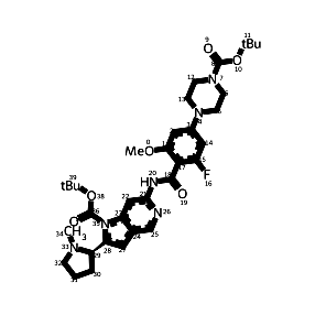 COc1cc(N2CCN(C(=O)OC(C)(C)C)CC2)cc(F)c1C(=O)Nc1cc2c(cn1)cc([C@H]1CCCN1C)n2C(=O)OC(C)(C)C